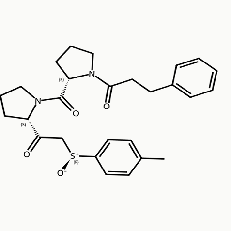 Cc1ccc([S@@+]([O-])CC(=O)[C@@H]2CCCN2C(=O)[C@@H]2CCCN2C(=O)CCc2ccccc2)cc1